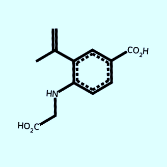 C=C(C)c1cc(C(=O)O)ccc1NCC(=O)O